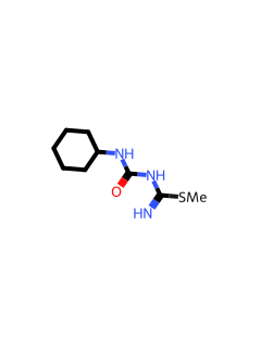 CSC(=N)NC(=O)NC1CCCCC1